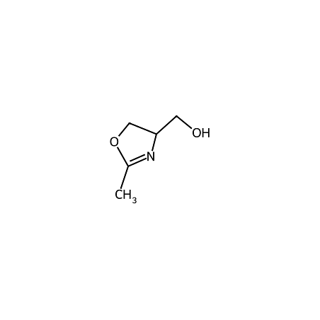 CC1=NC(CO)CO1